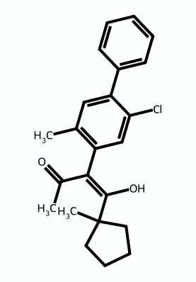 CC(=O)/C(=C(/O)C1(C)CCCC1)c1cc(Cl)c(-c2ccccc2)cc1C